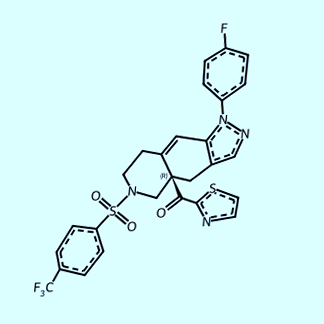 O=C(c1nccs1)[C@]12Cc3cnn(-c4ccc(F)cc4)c3C=C1CCN(S(=O)(=O)c1ccc(C(F)(F)F)cc1)C2